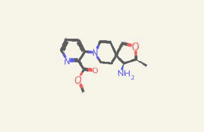 COC(=O)c1ncccc1N1CCC2(CC1)CO[C@@H](C)[C@H]2N